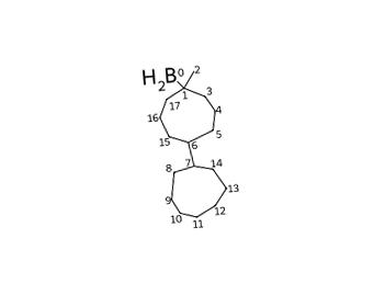 BC1(C)CCCC(C2CCCCCCC2)CCC1